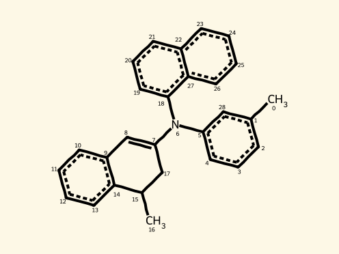 Cc1cccc(N(C2=Cc3ccccc3C(C)C2)c2cccc3ccccc23)c1